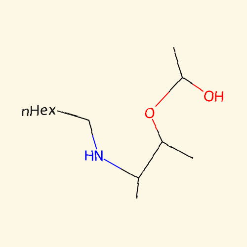 CCCCCCCNC(C)C(C)OC(C)O